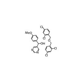 COc1ccc(C(O)c2cncnc2)cc1.Clc1ccc(COCc2ccc(Cl)cc2Cl)c(Cl)c1